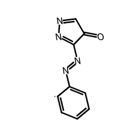 O=C1C=NN=C1N=Nc1[c]cccc1